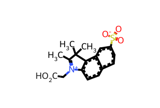 CC1=[N+](CC(=O)O)c2ccc3ccc(S(=O)(=O)[O-])cc3c2C1(C)C